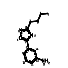 CCCCc1noc(-c2cccc(N)c2)n1